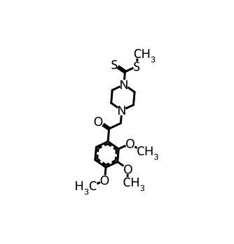 COc1ccc(C(=O)CN2CCN(C(=S)SC)CC2)c(OC)c1OC